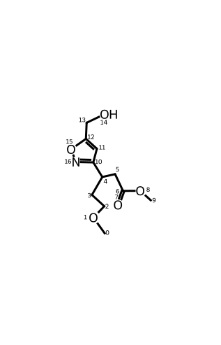 COCCC(CC(=O)OC)c1cc(CO)on1